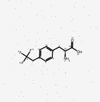 N[C@@H](Cc1ccc(CC(F)(F)F)cc1)C(=O)O